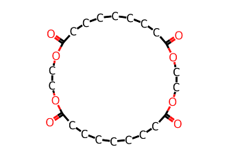 O=C1CCCCCCCC(=O)OCCOC(=O)CCCCCCCC(=O)OCCO1